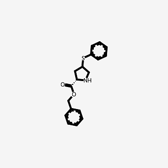 O=C(OCc1ccccc1)[C@@H]1CC(Sc2ccccc2)CN1